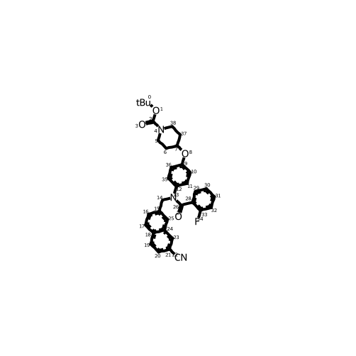 CC(C)(C)OC(=O)N1CCC(Oc2ccc(N(Cc3ccc4ccc(C#N)cc4c3)C(=O)c3ccccc3F)cc2)CC1